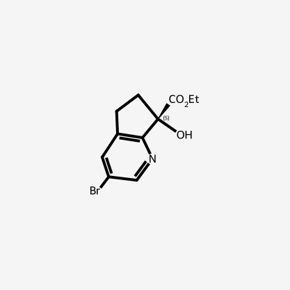 CCOC(=O)[C@]1(O)CCc2cc(Br)cnc21